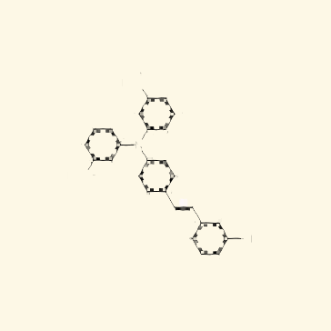 Cc1cccc(/C=C/c2ccc(N(c3cccc(C)c3)c3cccc(C)c3)cc2)c1